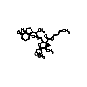 CCCCOC(=O)C1([C@@H](/C=C/[C@@H](C)[C@H]2CC[C@H]3C(=O)CCC[C@]23C)O[Si](CC)(CC)CC)CC1